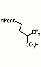 CCCCCCCC(C(=O)O)C(F)(F)F